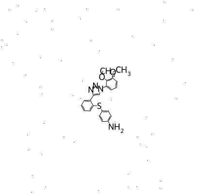 COc1cccc(-n2cc(-c3ccccc3Sc3ccc(N)cc3)nn2)c1OC